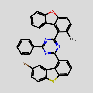 Cc1ccc2oc3ccccc3c2c1-c1nc(-c2ccccc2)nc(-c2cccc3sc4ccc(Br)cc4c23)n1